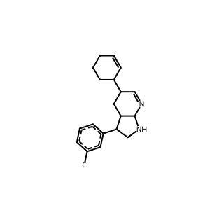 Fc1cccc(C2CNC3N=CC(C4C=CCCC4)CC32)c1